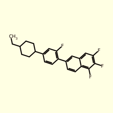 CCC1CCC(c2ccc(-c3ccc4c(F)c(F)c(F)cc4c3)c(F)c2)CC1